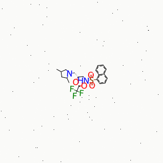 CC1CC(C)N(C[C@H](CNS(=O)(=O)c2cccc3ccccc23)OC(=O)C(F)(F)F)C1